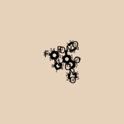 O=C(c1cc([C@@H]2CCCN2c2cc(F)cc(F)c2)c2oc(N3CCOCC3)cc(=O)c2c1)N1CCOCC1